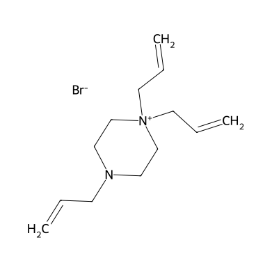 C=CCN1CC[N+](CC=C)(CC=C)CC1.[Br-]